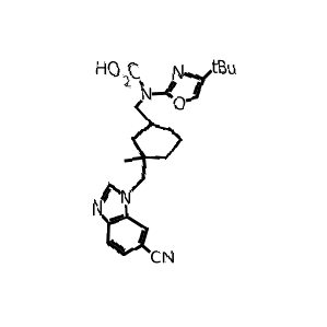 CC1(Cn2cnc3ccc(C#N)cc32)CCCC(CN(C(=O)O)c2nc(C(C)(C)C)co2)C1